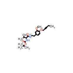 CCC#CCOc1ccc(CCNC(=O)C(NC(=O)OC(C)(C)C)C(C)C)cc1OC